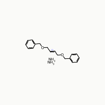 C(=C\COCc1ccccc1)/COCc1ccccc1.N.N